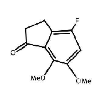 COc1cc(F)c2c(c1OC)C(=O)CC2